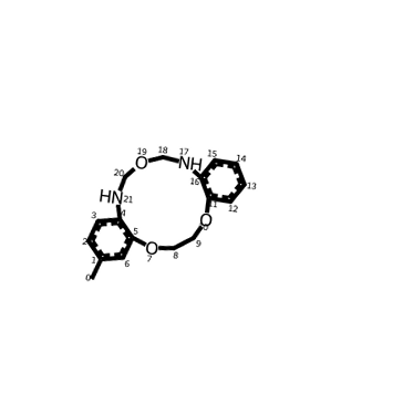 Cc1ccc2c(c1)OCCOc1ccccc1NCOCN2